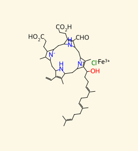 C=CC1=C(C)C2CC3[N-]C(CC4NC(CC5[N-]C(CC1N2)C(C)C5CCC(=O)O)C(CCC(=O)O)=C4C=O)C(C)=C3C(O)CC/C=C(\C)CC/C=C(\C)CCC=C(C)C.[Cl-].[Fe+3]